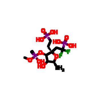 B[C@@H]1O[C@](CCP(=O)(O)O)(CC(F)(F)P(=O)(O)O)[C@H](OP(=C)(O)OC)C1O